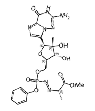 COC(=O)[C@H](C)N=NP(=O)(OC[C@H]1O[C@@H](c2cnc3c(=O)[nH]c(N)nn23)[C@](C)(O)[C@@H]1O)Oc1ccccc1